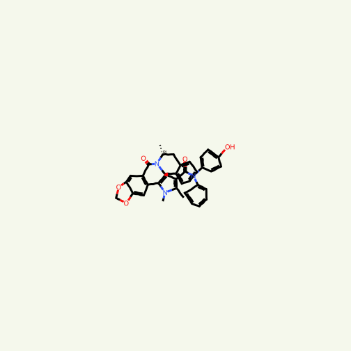 Cc1c(C(=O)N(c2ccccc2)c2ccc(O)cc2)cc(-c2cc3c(cc2C(=O)N2Cc4ccccc4C[C@H]2C)OCO3)n1C